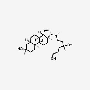 C[C@H](CCC(C)(O)CCCO)[C@H]1CC[C@H]2[C@@H]3CC[C@H]4C[C@@](C)(O)CC[C@]4(C)[C@H]3CC[C@]12C